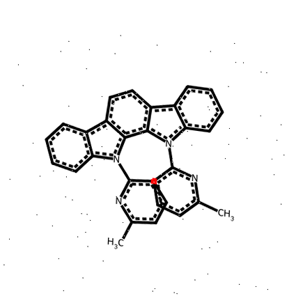 Cc1cccc(-n2c3ccccc3c3ccc4c5ccccc5n(-c5cccc(C)n5)c4c32)n1